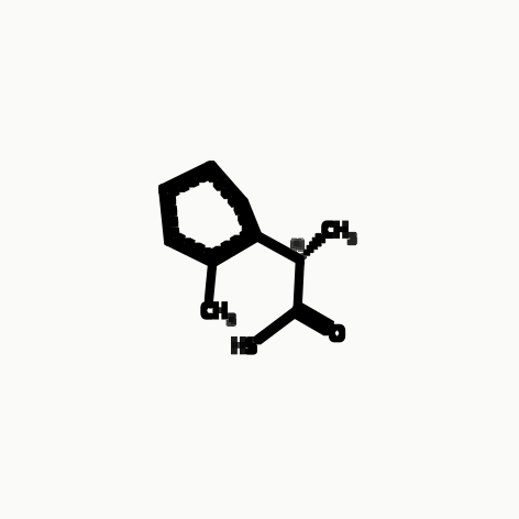 Cc1ccccc1[C@H](C)C(=O)S